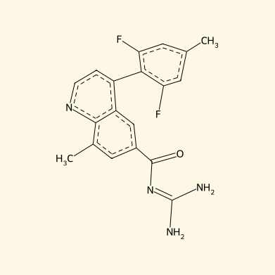 Cc1cc(F)c(-c2ccnc3c(C)cc(C(=O)N=C(N)N)cc23)c(F)c1